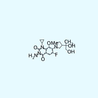 COc1c(N2CCC(C(C)(O)CO)C2)c(F)cc2c(=O)n(N)c(=O)n(C3CC3)c12